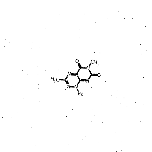 CCn1nc(C)nc2c(=O)n(C)c(=O)nc1-2